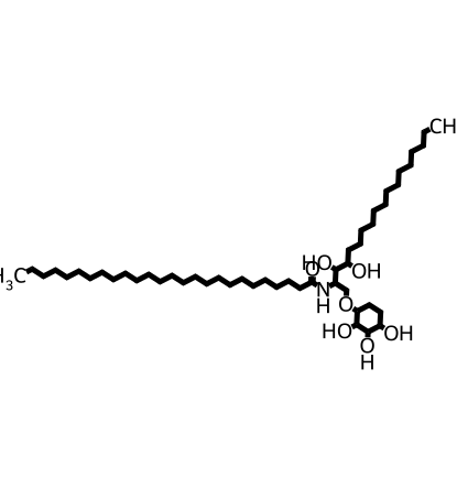 CCCCCCCCCCCCCCCCCCCCCCCCCC(=O)NC(COC1CCC(O)C(O)C1O)C(O)C(O)CCCCCCCCCCCCCC